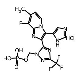 Cc1ccn2c(-c3cnc[nH]3)c(-c3nc(C(F)(F)F)nn3COP(=O)(O)O)nc2c1F.Cl